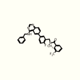 CN(Cc1cc(-c2ccc3ncnc(NCc4ccccc4)c3c2)ccc1F)C(=O)c1cccc(C(F)(F)F)c1